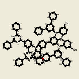 CC(C)(C)c1ccc2c(c1)N(c1cc(-c3ccccc3)cc(-c3ccccc3)c1)c1cc(-c3ccc4c(c3)c3ccccc3n4-c3ccc(-c4nc(-c5ccccc5)nc(-c5ccccc5)n4)cc3-c3nc(-c4ccccc4)nc(-c4ccccc4)n3)cc3c1B2c1ccc(C(C)(C)C)cc1N3c1cc(-c2ccccc2)cc(-c2ccccc2)c1